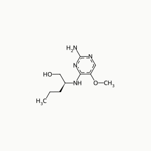 CCC[C@@H](CO)Nc1nc(N)ncc1OC